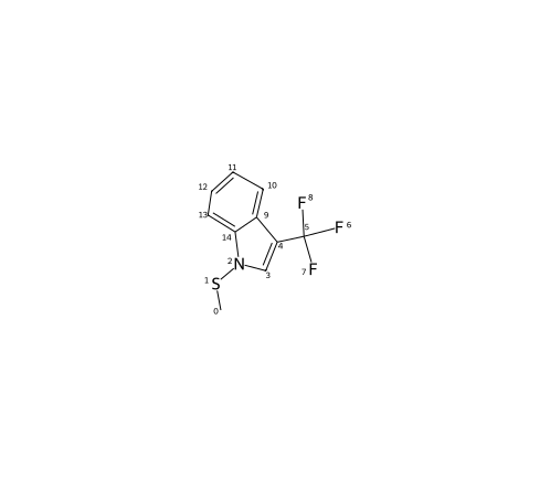 CSn1cc(C(F)(F)F)c2ccccc21